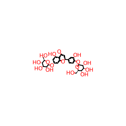 O=c1cc(-c2ccc(OC3O[C@H](CO)[C@@H](O)[C@H](O)[C@H]3O)c(O)c2)oc2cc(OC3O[C@H](CO)[C@@H](O)[C@H](O)[C@H]3O)cc(O)c12